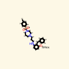 CCCCCCOc1cccc(NCCCN2CCCN(S(=O)(=O)c3ccc(C)cc3)CC2)c1Cc1ccccc1